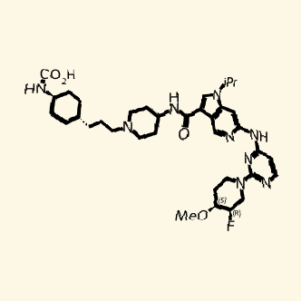 CO[C@H]1CCN(c2nccc(Nc3cc4c(cn3)c(C(=O)NC3CCN(CCC[C@H]5CC[C@H](NC(=O)O)CC5)CC3)cn4C(C)C)n2)C[C@H]1F